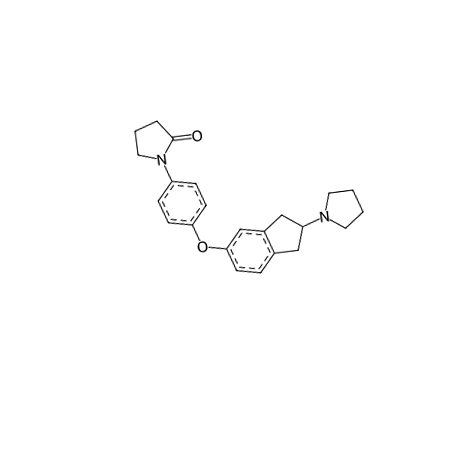 O=C1CCCN1c1ccc(Oc2ccc3c(c2)CC(N2CCCC2)C3)cc1